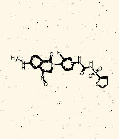 CNc1ccc2c(=O)n(-c3ccc(NC(=O)NS(=O)(=O)C4=CCCS4)cc3F)cc(N=O)c2c1